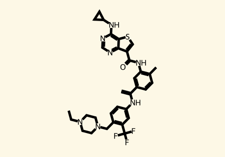 C=C(Nc1ccc(CN2CCN(CC)CC2)c(C(F)(F)F)c1)c1ccc(C)c(NC(=O)c2csc3c(NC4CC4)ncnc23)c1